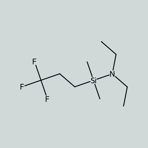 CCN(CC)[Si](C)(C)CCC(F)(F)F